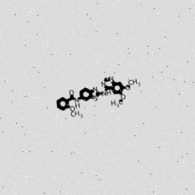 COc1cc2ncnc(Nc3nc4ccc(NC(=O)c5ccccc5OC)cc4s3)c2cc1OC